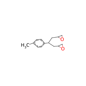 Cc1ccc(C(CC2CO2)CC2CO2)cc1